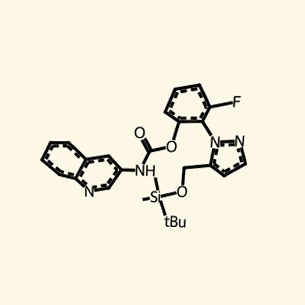 CC(C)(C)[Si](C)(C)OCc1ccnn1-c1c(F)cccc1OC(=O)Nc1cnc2ccccc2c1